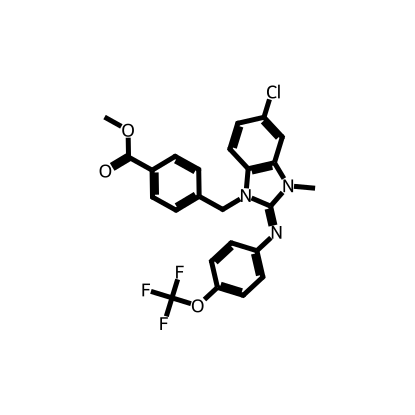 COC(=O)c1ccc(Cn2c(=Nc3ccc(OC(F)(F)F)cc3)n(C)c3cc(Cl)ccc32)cc1